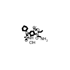 CCCN(C(=O)CN)c1cc(NS(C)(=O)=O)c(Oc2ccccc2)cc1[N+](=O)[O-].Cl